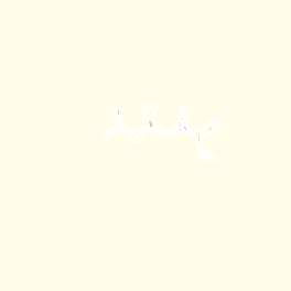 C=CC(=O)N(C)CC(=O)OC(C)C